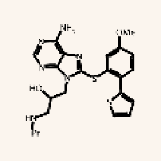 COc1ccc(-c2cccs2)c(Sc2nc3c(N)ncnc3n2CC(O)CNC(C)C)c1